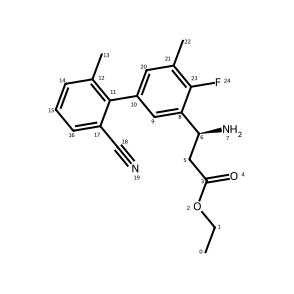 CCOC(=O)C[C@H](N)c1cc(-c2c(C)cccc2C#N)cc(C)c1F